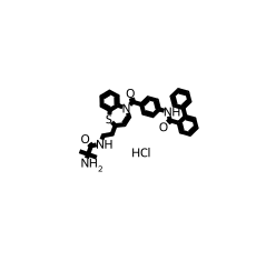 CC(C)(N)C(=O)NCCC1C=CN(C(=O)c2ccc(NC(=O)c3ccccc3-c3ccccc3)cc2)c2ccccc2S1.Cl